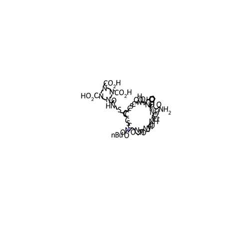 CCCCOC(=O)/N=C/C1CSCc2cc(CSCCNC(=O)CN3CCN(CC(=O)O)CCN(CC(=O)O)CCN(CC(=O)O)CC3)cc(c2)CSC[C@@H](C(=O)O)NC(=O)[C@H](Cc2ccccc2)NC(=O)[C@H](CCC(N)=O)NC(=O)[C@H](CC)NC(=O)[C@@H]2CCCN2C(=O)[C@@H]2CCCN2C1=O